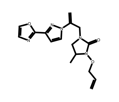 C=CCON1C(=O)N(CC(=C)n2ccc(-c3ncco3)n2)CC1C